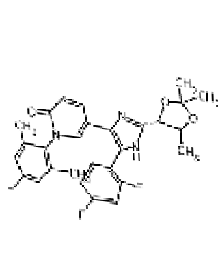 Cc1cc(F)cc(C)c1-n1cc(-c2nc([C@@H]3OC(C)(C)O[C@H]3C)[nH]c2-c2ccc(F)cc2F)ccc1=O